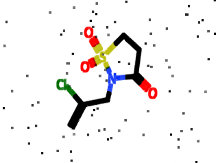 C=C(Cl)CN1C(=O)CCS1(=O)=O